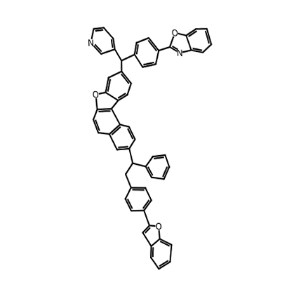 c1ccc(C(Cc2ccc(-c3cc4ccccc4o3)cc2)c2ccc3c(ccc4oc5cc(C(c6ccc(-c7nc8ccccc8o7)cc6)c6cccnc6)ccc5c43)c2)cc1